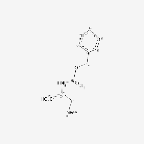 CNC[C@@H](NC(=O)OCc1ccccc1)C(=O)O